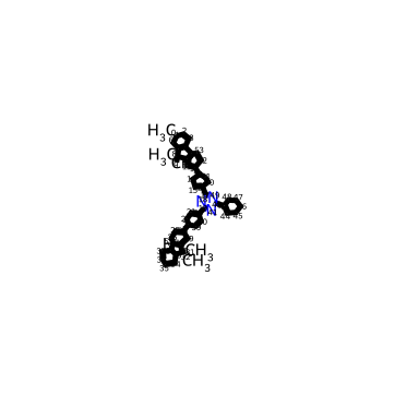 CC1C=CC2=C(C1)C(C)(C)c1cc(C3CC=C(c4nc(C5=CCC(C6=CCC7C(=C6)C(C)(C)C6C=CC=C[C@@H]76)C=C5)nc(C5=CCCCC5)n4)CC3)ccc12